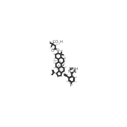 C=C(C)[C@@H]1CC[C@]2(C#Cc3cc(F)ccc3-c3nn[nH]n3)CC[C@]3(C)C(CCC4[C@@]5(C)CC[C@H](OC(=O)CC(C)(C)C(=O)O)C(C)(C)C5CC[C@]43C)C12